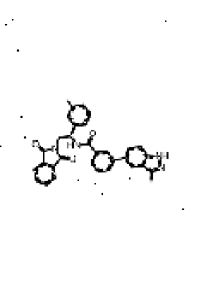 O=C(NC(CN1C(=O)c2ccccc2C1=O)c1cccc(F)c1)c1cccc(-c2ccc3[nH]nc(F)c3c2)c1